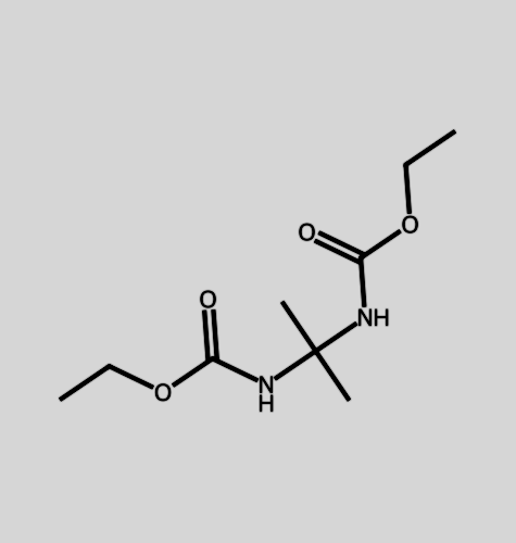 CCOC(=O)NC(C)(C)NC(=O)OCC